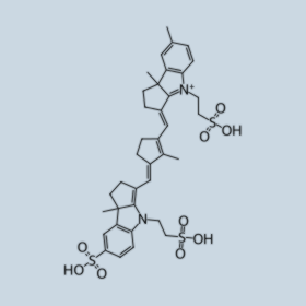 CC1=C(/C=C2\CCC3(C)C2=[N+](CCS(=O)(=O)O)c2ccc(C)cc23)CC/C1=C\C1=C2N(CCS(=O)(=O)O)c3ccc(S(=O)(=O)O)cc3C2(C)CC1